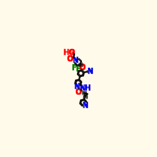 N#Cc1cc(-c2ccnc(NC(=O)[C@@H]3C[C@H]3c3cccnc3)c2)ccc1O[C@H]1CCN(C(=O)CO)CC1(F)F